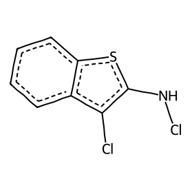 ClNc1sc2ccccc2c1Cl